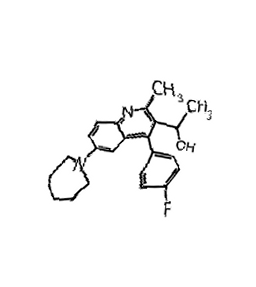 Cc1nc2ccc(N3CCCCC3)cc2c(-c2ccc(F)cc2)c1C(C)O